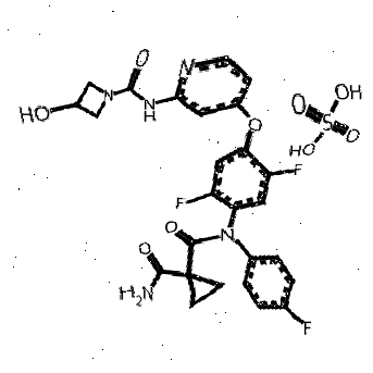 NC(=O)C1(C(=O)N(c2ccc(F)cc2)c2cc(F)c(Oc3ccnc(NC(=O)N4CC(O)C4)c3)cc2F)CC1.O=S(=O)(O)O